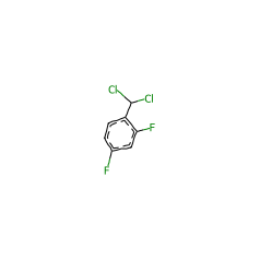 Fc1ccc(C(Cl)Cl)c(F)c1